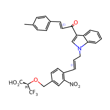 Cc1ccc(/C=C/C(=O)c2cn(C/C=C/c3ccc(CO[C@H](C(=O)O)C(F)(F)F)cc3[N+](=O)[O-])c3ccccc23)cc1